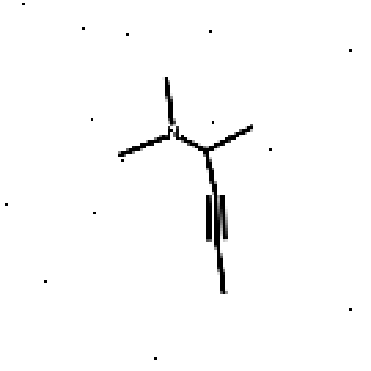 CC#CC(C)N(C)C